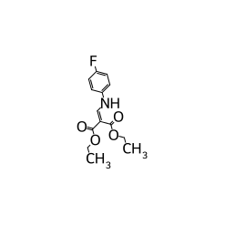 CCOC(=O)C(=CNc1ccc(F)cc1)C(=O)OCC